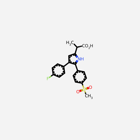 CC(C(=O)O)c1cc(-c2ccc(F)cc2)c(-c2ccc(S(C)(=O)=O)cc2)[nH]1